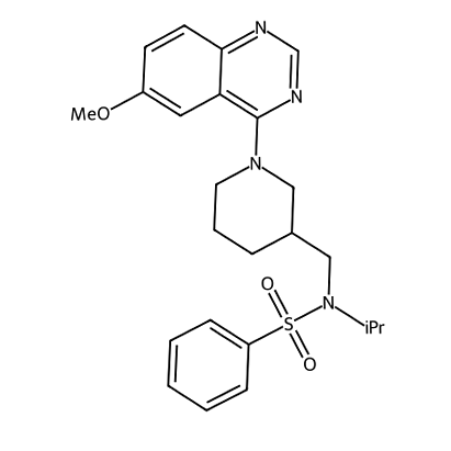 COc1ccc2ncnc(N3CCCC(CN(C(C)C)S(=O)(=O)c4ccccc4)C3)c2c1